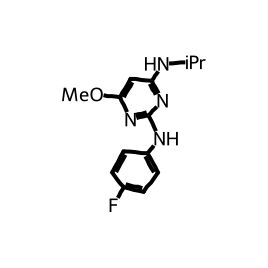 COc1cc(NC(C)C)nc(Nc2ccc(F)cc2)n1